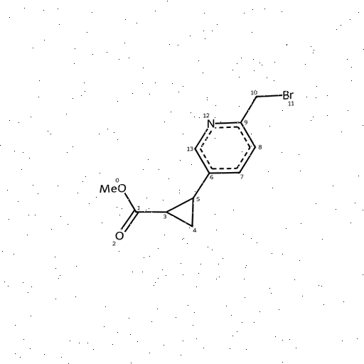 COC(=O)C1CC1c1ccc(CBr)nc1